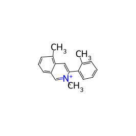 Cc1ccccc1-c1cc2c(C)cccc2c[n+]1C